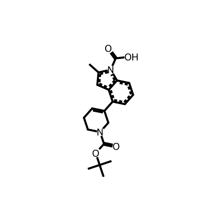 Cc1cc2c(C3=CCCN(C(=O)OC(C)(C)C)C3)cccc2n1C(=O)O